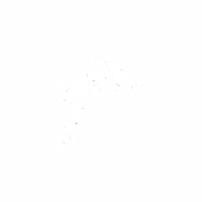 CCN(CC[As](C)C)S(=O)(=O)c1ccccc1S(=O)(=O)Oc1cc(C)cc(OCCCON)c1